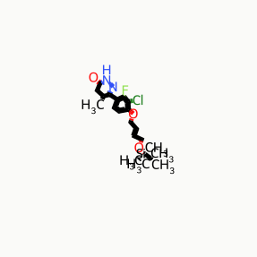 CC1CC(=O)NN=C1c1ccc(OC/C=C/CO[Si](C)(C)C(C)(C)C)c(Cl)c1F